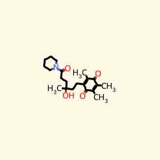 CC1=C(C)C(=O)C(CCC(C)(O)CCC(=O)N2CCCCC2)=C(C)C1=O